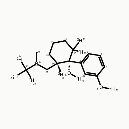 [2H]Oc1cccc([C@]2(O[2H])C([2H])([2H])CCC[C@@]2([2H])CN(C)C([2H])([2H])[2H])c1